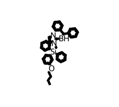 CCCCOc1cccc([Si](Cn2ccnc2BC(c2ccccc2)c2ccccc2)(c2ccccc2)c2ccccc2)c1